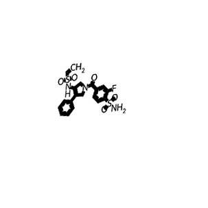 C=CS(=O)(=O)NC1=C(c2ccccc2)CN(C(=O)c2ccc(S(N)(=O)=O)c(F)c2)C1